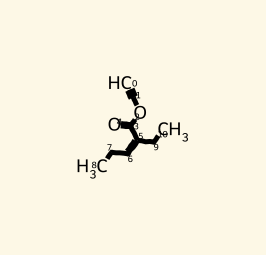 C#COC(=O)/C(=C\CC)CC